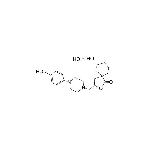 Cc1ccc(N2CCN(CC3CC4(CCCCC4)C(=O)O3)CC2)cc1.O=CO